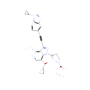 CC(C)(C)OC(=O)N1CCC(n2nc(C#Cc3ccc4c(c3)ncn4C3CC3)c3c(N)ncc(C(=O)C4CC4)c32)C1